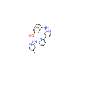 Cc1ccnc(Nc2cccc(-c3ccnc(NC4C5CC6CC4CC(O)(C6)C5)c3)n2)c1